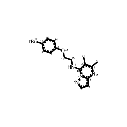 Cc1nc2ccnn2c(NCCOc2ccc(C(C)(C)C)cc2)c1C